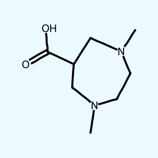 CN1CCN(C)CC(C(=O)O)C1